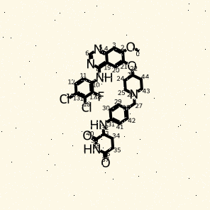 COc1cc2ncnc(Nc3ccc(Cl)c(Cl)c3F)c2cc1OC1CCN(Cc2ccc(NC3CCC(=O)NC3=O)cc2)CC1